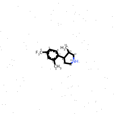 Cc1cc(C(F)(F)F)ccc1C1CCNCC1C